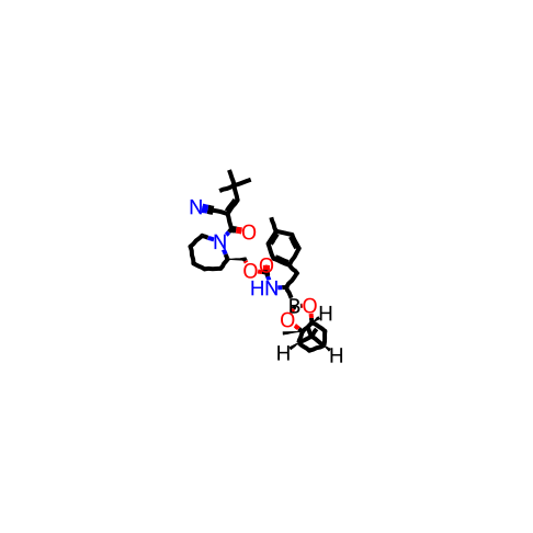 Cc1ccc(CC(NC(=O)OC[C@H]2CCCCCN2C(=O)C(C#N)=CC(C)(C)C)B2O[C@@H]3C[C@@H]4C[C@@H](C4(C)C)[C@]3(C)O2)cc1